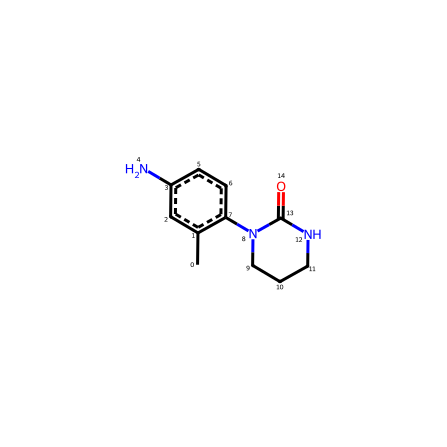 Cc1cc(N)ccc1N1CCCNC1=O